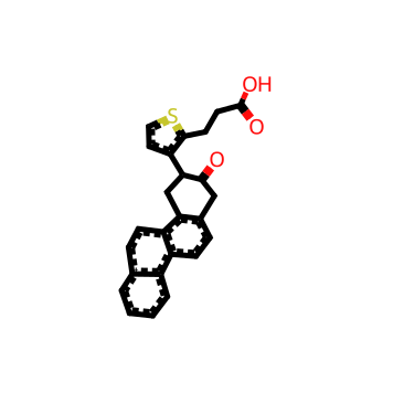 O=C(O)CCc1sccc1C1Cc2c(ccc3c2ccc2ccccc23)CC1=O